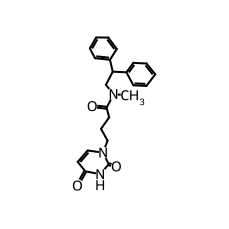 CN(CC(c1ccccc1)c1ccccc1)C(=O)CCCn1ccc(=O)[nH]c1=O